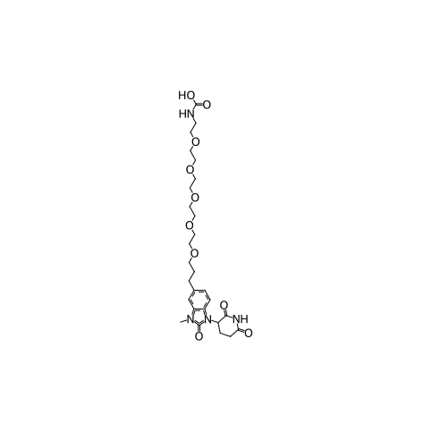 Cn1c(=O)n(C2CCC(=O)NC2=O)c2ccc(CCCOCCOCCOCCOCCOCCNC(=O)O)cc21